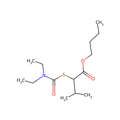 CCCCOC(=O)C(SC(=O)N(CC)CC)C(C)C